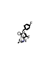 CN(C)/C=N\c1nc(=O)n(Cc2ccc(F)cc2)cc1F